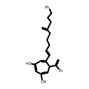 C=C(CCC/C=C/C1=CC(O)=CC(C#N)=CC1C(=C)CC)CCCC(C)C